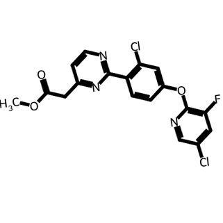 COC(=O)Cc1ccnc(-c2ccc(Oc3ncc(Cl)cc3F)cc2Cl)n1